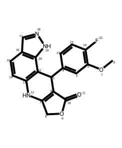 COc1cc(C2C3=C(COC3=O)Nc3ccc4cn[nH]c4c32)ccc1F